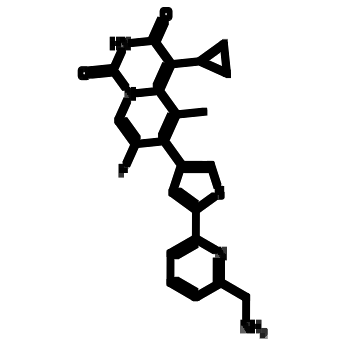 Cc1c(-c2csc(-c3cccc(CN)n3)c2)c(F)cn2c(=O)[nH]c(=O)c(C3CC3)c12